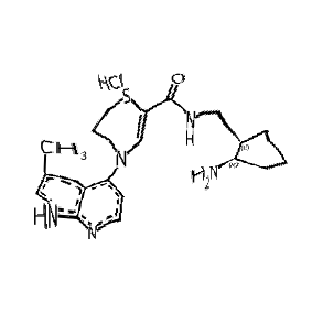 Cc1c[nH]c2nccc(N3C=C(C(=O)NC[C@H]4CCC[C@H]4N)SCC3)c12.Cl